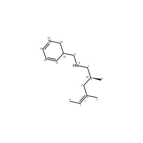 C/C=C(/C)C[C@H](C)CNCC1C=CC=NC1